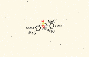 COc1cc(OC)c(/C=C/S(=O)(=O)Cc2cc(OC)c(OC)cc2[N+](=O)[O-])c(OC)c1